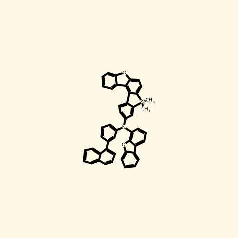 C[Si]1(C)c2cc(N(c3cccc(-c4cccc5ccccc45)c3)c3cccc4c3oc3ccccc34)ccc2-c2c1ccc1oc3ccccc3c21